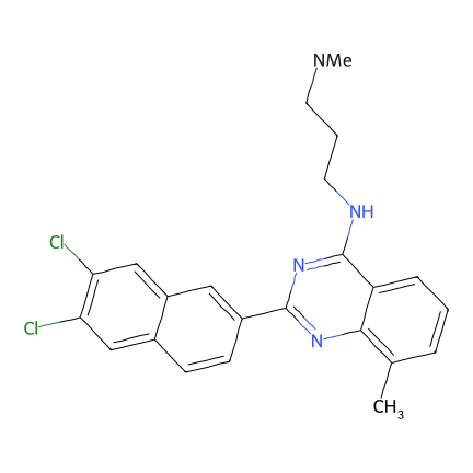 CNCCCNc1nc(-c2ccc3cc(Cl)c(Cl)cc3c2)nc2c(C)cccc12